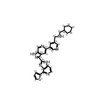 c1csc(-c2nccc3[nH]c(-c4n[nH]c5cnc(-c6cncc(CNCC7CCCCC7)c6)cc45)nc23)c1